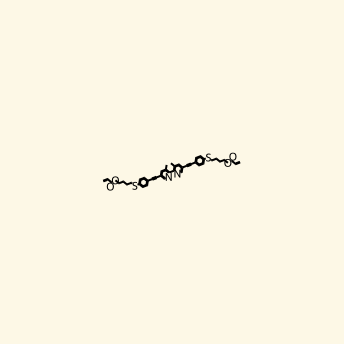 C=CC(=O)OCCCCSc1ccc(C#Cc2cnc(-c3ncc(C#Cc4ccc(SCCCCOC(=O)C=C)cc4)cc3C)c(C)c2)cc1